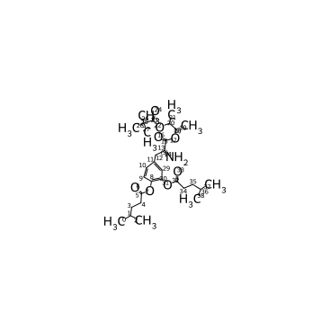 CC(C)CCC(=O)Oc1ccc(C[C@H](N)C(=O)O[C@@H](C)C(C)OC(=O)C(C)(C)C)cc1OC(=O)CCC(C)C